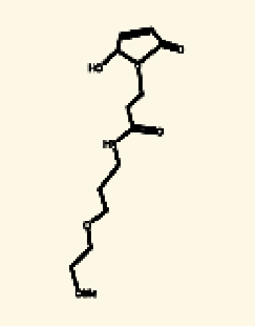 COCCOCCCNC(=O)CCN1C(=O)C=CC1O